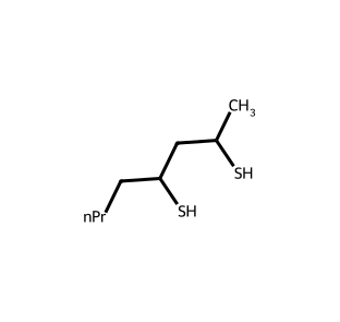 CCCCC(S)CC(C)S